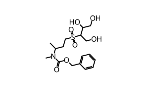 CC(CCS(=O)(=O)C(CO)C(O)CO)N(C)C(=O)OCc1ccccc1